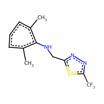 Cc1cccc(C)c1NCc1nnc(C(F)(F)F)s1